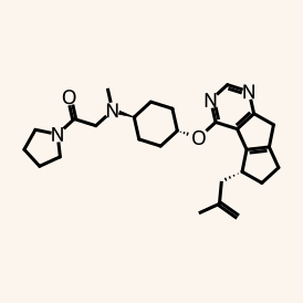 C=C(C)C[C@H]1CCC2=C1c1c(ncnc1O[C@H]1CC[C@H](N(C)CC(=O)N3CCCC3)CC1)C2